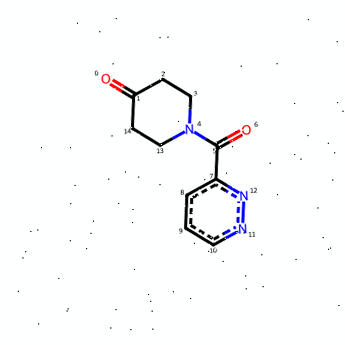 O=C1CCN(C(=O)c2cccnn2)CC1